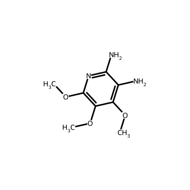 COc1nc(N)c(N)c(OC)c1OC